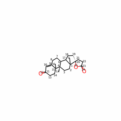 CC12CC[C@@]3(C)C(CCC4=CC(=O)CCC43C)C1CC[C@@]21CCC(=O)O1